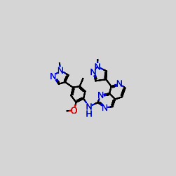 COc1cc(-c2cnn(C)c2)c(C)cc1Nc1ncc2ccnc(-c3cnn(C)c3)c2n1